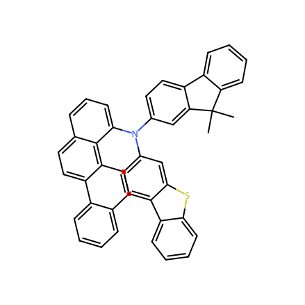 CC1(C)c2ccccc2-c2ccc(N(c3ccc4c(c3)sc3ccccc34)c3cccc4ccc5c6ccccc6ccc5c34)cc21